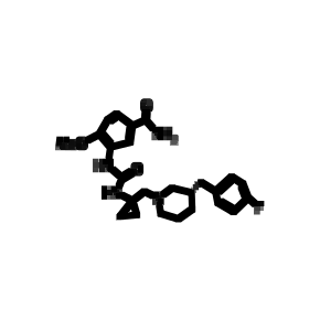 COc1ccc(C(N)=O)cc1NC(=O)NC1(CN2CCC[C@@H](Cc3ccc(F)cc3)C2)CC1